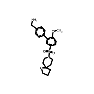 COc1ccc(S(=O)(=O)N2CCC3(CCCO3)CC2)cc1-c1ccc(CN)cc1